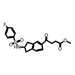 COC(=O)CCC(=O)c1ccc2c(c1)CC(NS(=O)(=O)c1ccc(F)cc1)C2